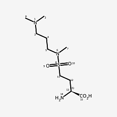 CN(C)CCCN(C)S(=O)(=O)CC[C@H](N)C(=O)O